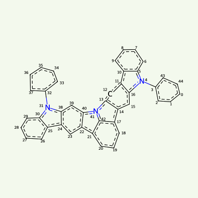 c1ccc(-n2c3ccccc3c3cc4c(cc32)c2cccc3c5cc6c7ccccc7n(-c7ccccc7)c6cc5n4c23)cc1